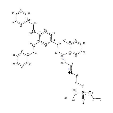 CCOP(=O)(CCC/N=C/C=C(/C=Cc1ccc(OCc2ccccc2)c(OCc2ccccc2)c1)c1ccccc1C)OCC